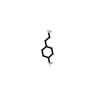 CCCC1CCC(CCO)CC1